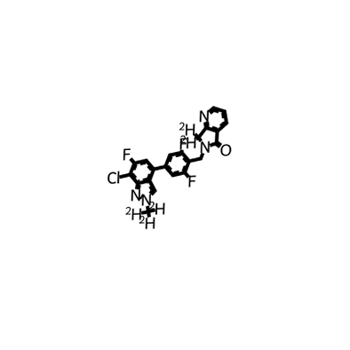 [2H]C1([2H])c2ncccc2C(=O)N1Cc1c(F)cc(-c2cc(F)c(Cl)c3nn(C([2H])([2H])[2H])cc23)cc1F